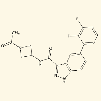 CC(=O)N1CC(NC(=O)c2n[nH]c3ccc(-c4cccc(F)c4F)cc23)C1